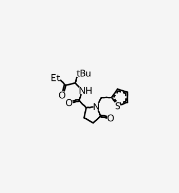 CCC(=O)C(NC(=O)C1CCC(=O)N1Cc1cccs1)C(C)(C)C